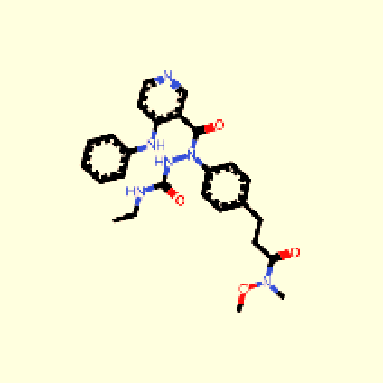 CCNC(=O)NN(C(=O)c1cnccc1Nc1ccccc1)c1ccc(CCC(=O)N(C)OC)cc1